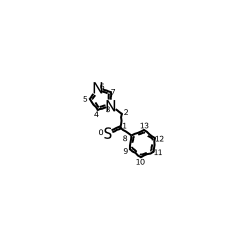 S=C(Cn1ccnc1)c1ccccc1